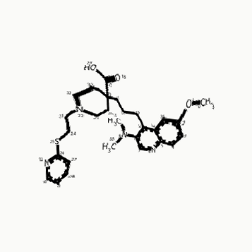 COc1ccc2ncc(N(C)C)c(CCCC3(C(=O)O)CCN(CCSc4ccccn4)CC3)c2c1